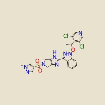 CC(On1nc(-c2nc3c([nH]2)CN(S(=O)(=O)c2cnn(C)c2)C3)c2ccccc21)c1c(Cl)cncc1Cl